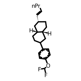 CCCC=C[C@@H]1CC[C@@H]2CC(c3ccc(OC(F)F)cc3)CC[C@@H]2C1